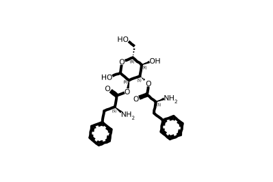 N[C@@H](Cc1ccccc1)C(=O)O[C@H]1[C@H](O)[C@@H](CO)OC(O)[C@@H]1OC(=O)[C@@H](N)Cc1ccccc1